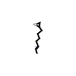 C/C=C/CCCCC1CO1